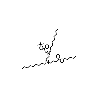 CCCCCCCCCN(CCCC(=O)OCCCCC)CCN(CCCCCCCCC)CC(=O)OC(C)(C)C